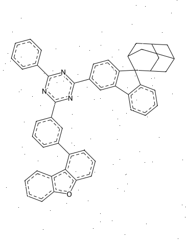 c1ccc(-c2nc(-c3cccc(-c4cccc5oc6ccccc6c45)c3)nc(-c3ccc4c(c3)-c3ccccc3C43C4CC5CC(C4)CC3C5)n2)cc1